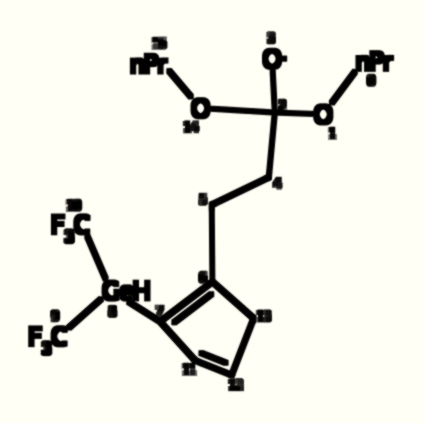 CCCOC([O])(CCC1=[C]([GeH]([C](F)(F)F)[C](F)(F)F)C=CC1)OCCC